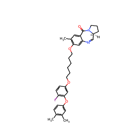 Cc1ccc(Oc2cc(OCCCCCCOc3cc4c(cc3C)C(=O)N3CCC[C@H]3C=N4)ccc2I)cc1C